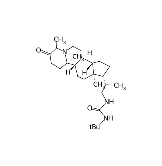 CC(CNC(=O)NC(C)(C)C)[C@H]1CC[C@H]2[C@@H]3CCN4C(C)C(=O)CC[C@]4(C)[C@H]3CC[C@]12C